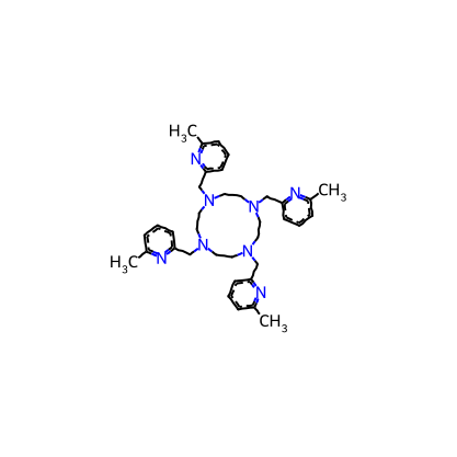 Cc1cccc(CN2CCN(Cc3cccc(C)n3)CCN(Cc3cccc(C)n3)CCN(Cc3cccc(C)n3)CC2)n1